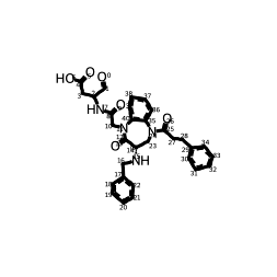 O=CC(CC(=O)O)NC(=O)CN1C(=O)[C@@H](NCc2ccccc2)CN(C(=O)CCc2ccccc2)c2ccccc21